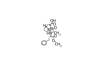 CCOC(=O)[C@H](CCc1ccccc1)NC(C)C(=O)N1[C@H](C(=O)O)C[C@@H]2CCC[C@@H]21